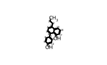 CCCc1ccc(-c2ccc(O)cc2)c2c(O)cccc12